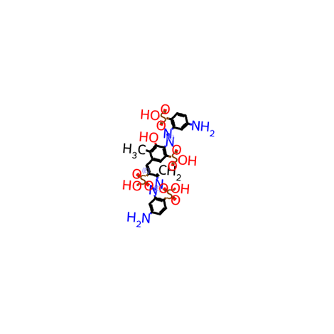 C=C(/N=N/c1cc(N)ccc1S(=O)(=O)O)/C(=C\c1cc(S(=O)(=O)O)c(/N=N/c2cc(N)ccc2S(=O)(=O)O)c(O)c1C)S(=O)(=O)O